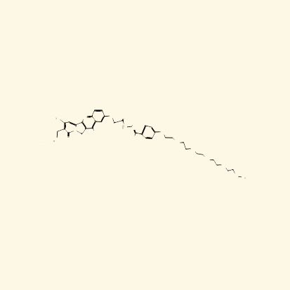 CCCOCCOCCOCCOCCOCCOc1ccc(/C(C)=N/NC(=O)COc2ccc3nc4c(c(CC)c3c2)Cn2c-4cc(C(C)CC)c(COC=O)c2=O)cc1